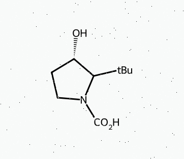 CC(C)(C)C1[C@@H](O)CCN1C(=O)O